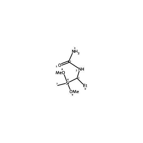 CCC(NC(N)=O)[Si](C)(OC)OC